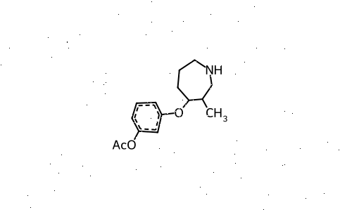 CC(=O)Oc1cccc(OC2CCCNCC2C)c1